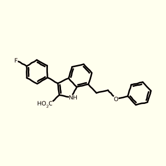 O=C(O)c1[nH]c2c(CCOc3ccccc3)cccc2c1-c1ccc(F)cc1